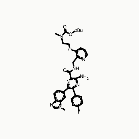 CN(CCOc1cccnc1CNC(=O)c1nc(-c2ccc3ncn(C)c3c2)c(-c2ccc(F)cc2)nc1N)C(=O)OC(C)(C)C